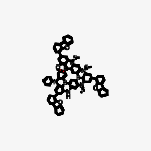 CSN1c2cc3c(cc2B2c4ccccc4Oc4cc(-c5cccc6c5oc5ccccc56)cc1c42)B1c2cc4c(cc2N(SC)c2cc(-c5cccc6c5oc5ccccc56)cc(c21)N3SC)Nc1cc(-c2cccc3c2oc2ccccc23)cc2c1B4c1ccccc1N2c1ccccc1